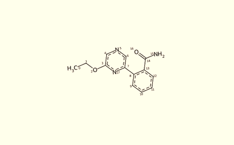 CCOc1cncc(-c2ccccc2C(N)=O)n1